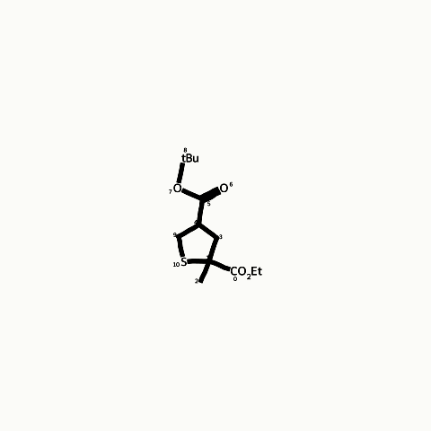 CCOC(=O)C1(C)CC(C(=O)OC(C)(C)C)CS1